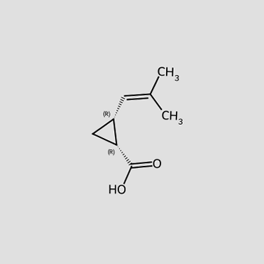 CC(C)=C[C@H]1C[C@H]1C(=O)O